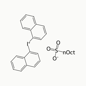 CCCCCCCCS(=O)(=O)[O-].c1ccc2c([I+]c3cccc4ccccc34)cccc2c1